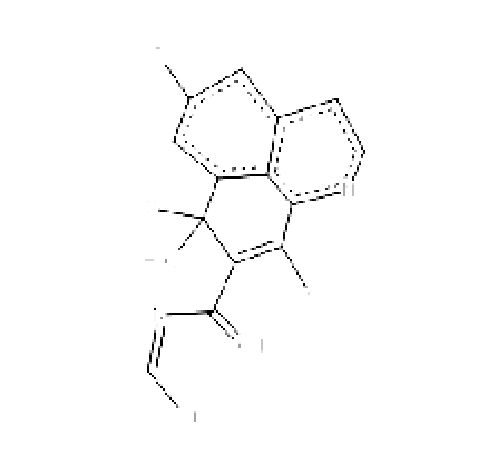 C=C(/N=C\CC)C1=C(C)c2nccc3cc(C)cc(c23)C1(C)C